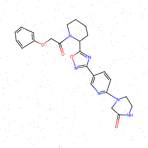 O=C1CN(c2ccc(-c3noc(C4CCCCN4C(=O)COc4ccccc4)n3)cn2)CCN1